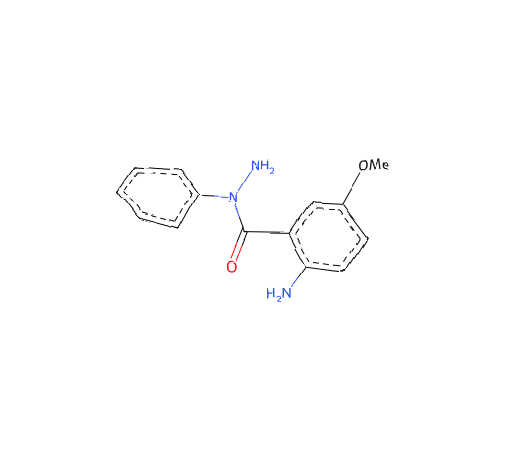 COc1ccc(N)c(C(=O)N(N)c2ccccc2)c1